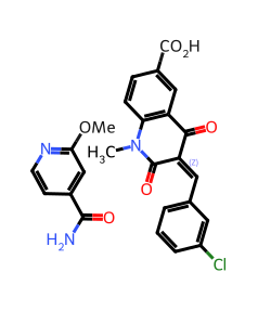 CN1C(=O)/C(=C\c2cccc(Cl)c2)C(=O)c2cc(C(=O)O)ccc21.COc1cc(C(N)=O)ccn1